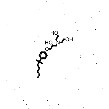 CCCCCC(C)(C)c1ccc(OCC(O)CN(CCO)CCO)cc1